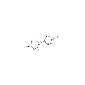 CC1CCC(c2ccc(F)cc2)=NC1